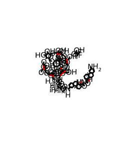 CC(C)[C@H](NC(=O)[C@H](N)CCCCNC(=O)COC1CCCCCc2c1nnn2CC1OC2OC3C(CO)OC(OC4C(CO)OC(OC5C(CO)OC(OC6C(CO)OC(OC7C(CO)OC(OC1C(O)C2O)C(O)C7O)C(O)C6O)C(O)C5O)C(O)C4O)C(O)C3O)C(=O)N[C@@H](C)C(=O)Nc1ccc2c(c1)[C@@]1(C)CCC[C@](C)(C(=O)NC(=O)[C@@]3(C)CCC[C@]4(C)c5cc(N)ccc5CC[C@@H]34)[C@@H]1CC2.O=C(O)C(F)(F)F